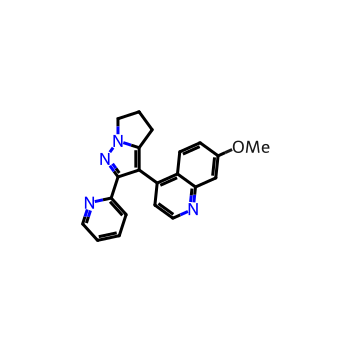 COc1ccc2c(-c3c(-c4ccccn4)nn4c3CCC4)ccnc2c1